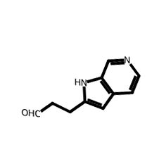 O=CCCc1cc2ccncc2[nH]1